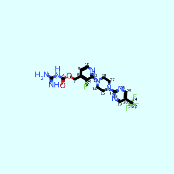 N=C(N)NC(=O)OCc1ccnc(N2CCN(c3ncc(C(F)(F)F)cn3)CC2)c1F